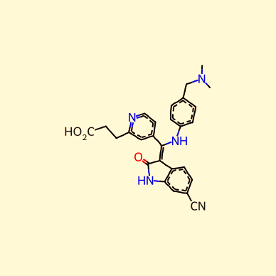 CN(C)Cc1ccc(NC(=C2C(=O)Nc3cc(C#N)ccc32)c2ccnc(CCC(=O)O)c2)cc1